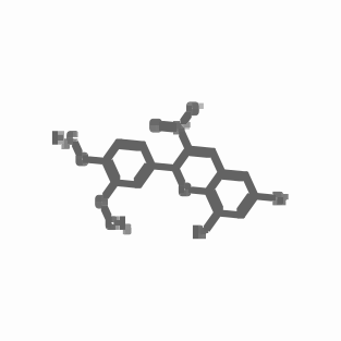 COc1ccc(C2Oc3c(Br)cc(Br)cc3C=C2[N+](=O)[O-])cc1OC